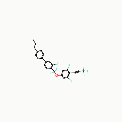 CCCc1ccc(-c2ccc(C(F)(F)Oc3cc(F)c(C#CC(F)(F)F)c(F)c3)c(F)c2)cc1